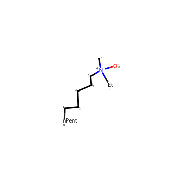 CCCCCCCCCC[N+](C)([O-])CC